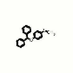 [CH2]Sc1ccc(OC(c2ccccc2)c2ccccc2)cc1